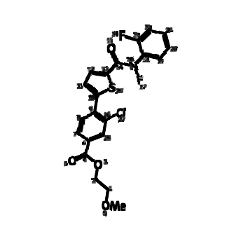 COCCOC(=O)c1ccc(-c2ccc(C(=O)N(F)c3ccccc3F)s2)c(Cl)c1